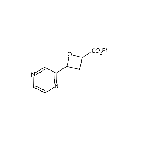 CCOC(=O)C1CC(c2cnccn2)O1